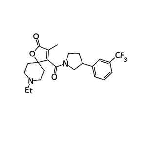 CCN1CCC2(CC1)OC(=O)C(C)=C2C(=O)N1CCC(c2cccc(C(F)(F)F)c2)C1